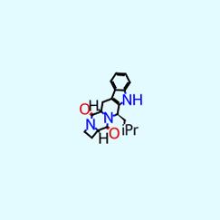 CC(C)C[C@@H]1c2[nH]c3ccccc3c2C[C@H]2C(=O)N3CC[C@H]3C(=O)N12